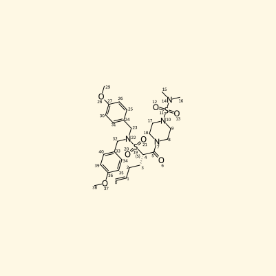 C=CCC[C@@H](C(=O)N1CCN(S(=O)(=O)N(C)C)CC1)S(=O)(=O)N(Cc1ccc(OC)cc1)Cc1ccc(OC)cc1